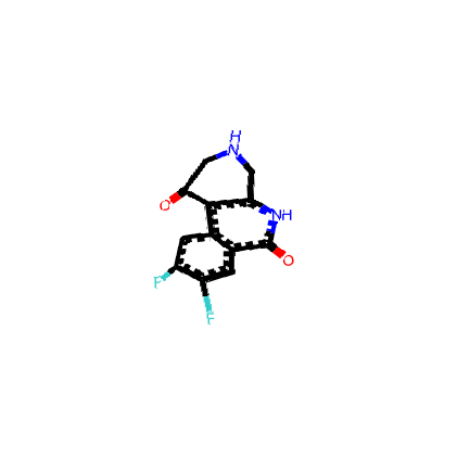 O=C1CNCc2[nH]c(=O)c3cc(F)c(F)cc3c21